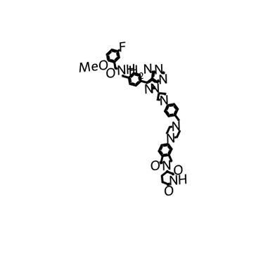 COc1ccc(F)cc1C(=O)NCc1ccc(-c2nn(C3CN(c4ccc(CN5CCN(c6ccc7c(c6)CN(C6CCC(=O)NC6=O)C7=O)CC5)cc4)C3)c3ncnc(N)c23)cc1